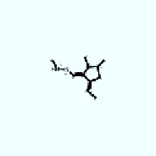 C/C=C1\CC(C)C(C)\C1=C/NNC